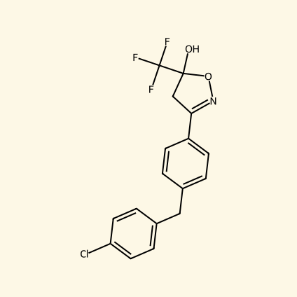 OC1(C(F)(F)F)CC(c2ccc(Cc3ccc(Cl)cc3)cc2)=NO1